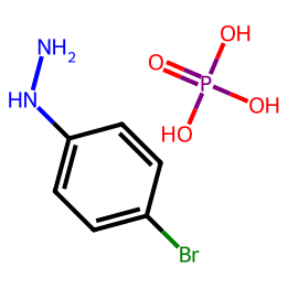 NNc1ccc(Br)cc1.O=P(O)(O)O